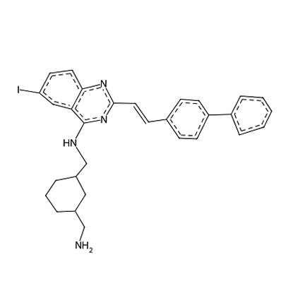 NCC1CCCC(CNc2nc(C=Cc3ccc(-c4ccccc4)cc3)nc3ccc(I)cc23)C1